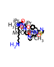 CC[C@H](C)[C@@H]([C@@H](CC(=O)N1CCC[C@H]1[C@H](OC)[C@@H](C)C(=O)N[C@@H](Cc1ccccc1)c1nccs1)OC)N(C)C(=O)[C@@H](NC(=O)[C@H](C(C)C)N(C)C(=O)CCCCCCCCN)C(C)C